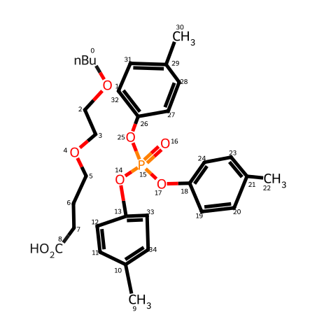 CCCCOCCOCCCC(=O)O.Cc1ccc(OP(=O)(Oc2ccc(C)cc2)Oc2ccc(C)cc2)cc1